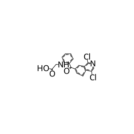 O=C(O)CNc1ccccc1C(=O)c1ccc2c(Cl)cnc(Cl)c2c1